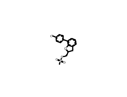 CS(=O)(=O)OCC1Cc2cccc(-c3ccc(Cl)cc3)c2O1